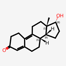 C[C@]12CCC3=C4CCC(=O)C=C4CC[C@H]3[C@H]1CC[C@H]2O